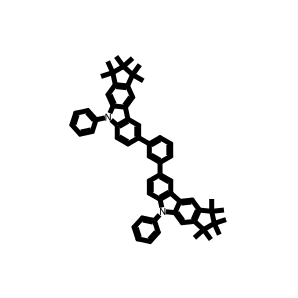 CC1(C)c2cc3c4cc(-c5cccc(-c6ccc7c(c6)c6cc8c(cc6n7-c6ccccc6)C(C)(C)C(C)(C)C8(C)C)c5)ccc4n(-c4ccccc4)c3cc2C(C)(C)C1(C)C